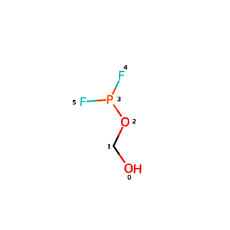 OCOP(F)F